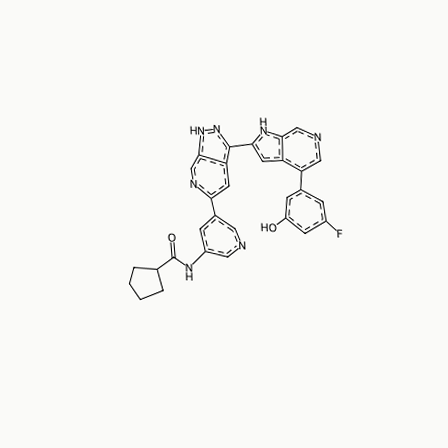 O=C(Nc1cncc(-c2cc3c(-c4cc5c(-c6cc(O)cc(F)c6)cncc5[nH]4)n[nH]c3cn2)c1)C1CCCC1